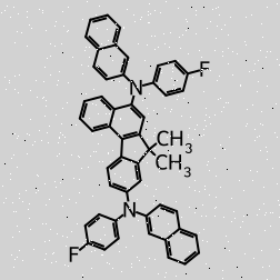 CC1(C)c2cc(N(c3ccc(F)cc3)c3ccc4ccccc4c3)ccc2-c2c1cc(N(c1ccc(F)cc1)c1ccc3ccccc3c1)c1ccccc21